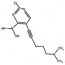 CCCN(CCC)c1nc(Cl)ncc1C#CCCCN(C)C